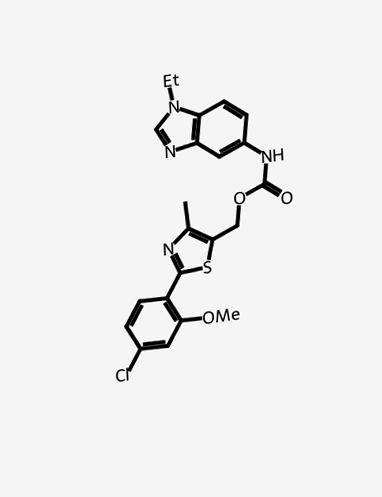 CCn1cnc2cc(NC(=O)OCc3sc(-c4ccc(Cl)cc4OC)nc3C)ccc21